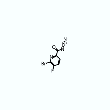 [N-]=[N+]=NC(=O)c1ccc(F)c(Br)n1